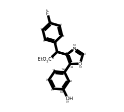 CCOC(=O)C(c1ccc(F)cc1)c1ncoc1-c1cccc(O)c1